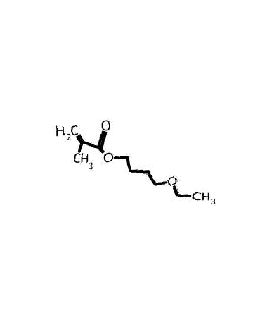 C=C(C)C(=O)OCCCCOCC